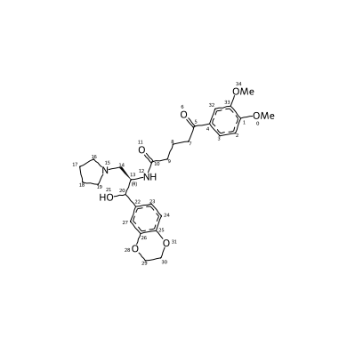 COc1ccc(C(=O)CCCC(=O)N[C@H](CN2CCCC2)C(O)c2ccc3c(c2)OCCO3)cc1OC